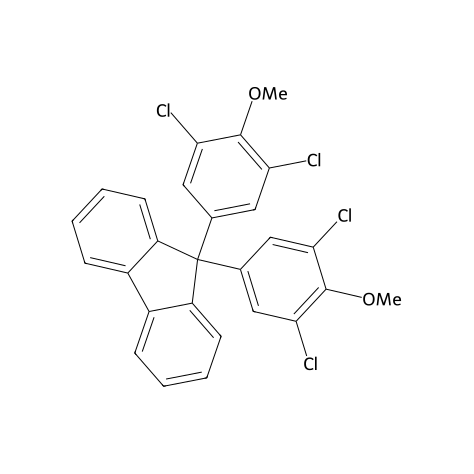 COc1c(Cl)cc(C2(c3cc(Cl)c(OC)c(Cl)c3)c3ccccc3-c3ccccc32)cc1Cl